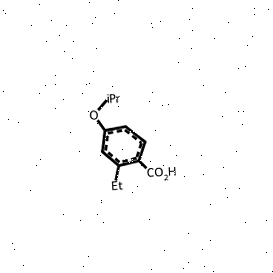 [CH2]Cc1cc(OC(C)C)ccc1C(=O)O